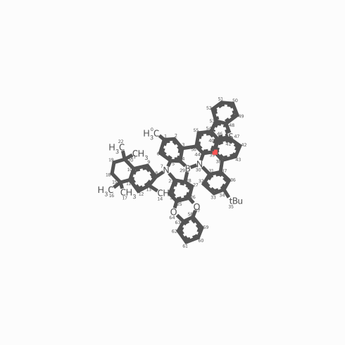 Cc1cc2c3c(c1)N(c1cc4c(cc1C)C(C)(C)CCC4(C)C)c1cc4c(cc1B3N(c1ccc(C(C)(C)C)cc1-c1ccccc1)c1cc3sc5ccccc5c3cc1-2)Oc1ccccc1O4